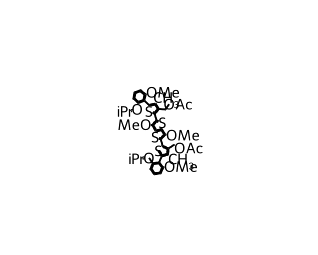 COc1cccc(OC(C)C)c1-c1sc(-c2sc3c(OC)c(-c4sc(-c5c(OC)cccc5OC(C)C)c(C)c4COC(C)=O)sc3c2OC)c(COC(C)=O)c1C